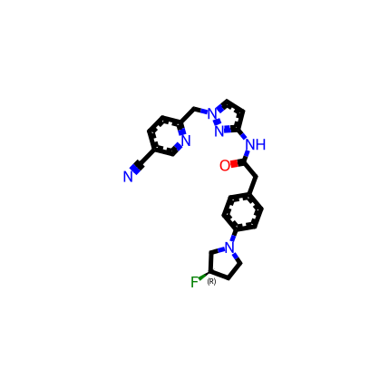 N#Cc1ccc(Cn2ccc(NC(=O)Cc3ccc(N4CC[C@@H](F)C4)cc3)n2)nc1